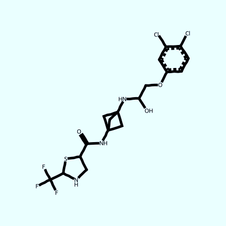 O=C(NC12CC(NC(O)COc3ccc(Cl)c(Cl)c3)(C1)C2)C1CNC(C(F)(F)F)S1